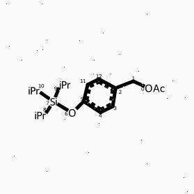 CC(=O)OCc1ccc(O[Si](C(C)C)(C(C)C)C(C)C)cc1